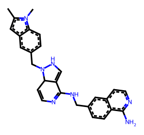 Cc1cc2cc(CN3NC=C4C(NCc5ccc6c(N)nccc6c5)=NC=CC43)ccc2n1C